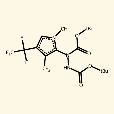 Cn1cc(C(F)(F)C(F)(F)F)c(C(F)(F)F)c1N(NC(=O)OC(C)(C)C)C(=O)OC(C)(C)C